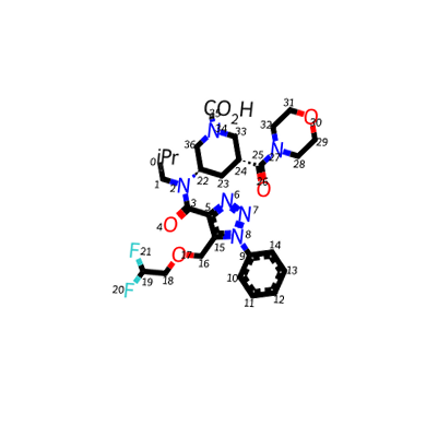 CC(C)CN(C(=O)c1nnn(-c2ccccc2)c1COCC(F)F)[C@H]1C[C@@H](C(=O)N2CCOCC2)CN(C(=O)O)C1